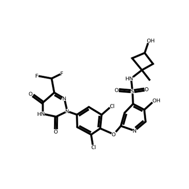 CC1(NS(=O)(=O)c2cc(Oc3c(Cl)cc(-n4nc(C(F)F)c(=O)[nH]c4=O)cc3Cl)ncc2O)CC(O)C1